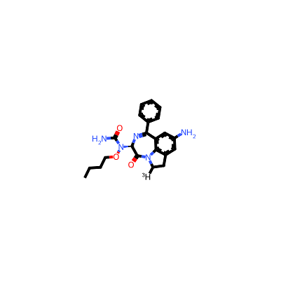 [3H]C1Cc2cc(N)cc3c2N1C(=O)[C@@H](N(OCCCC)C(N)=O)N=C3c1ccccc1